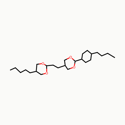 CCCCCC1COC(CCC2COC(C3CCC(CCCC)CC3)OC2)OC1